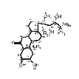 C[C@H]([C@@H](O)[C@H](O)[C@@H](C)C(C)(C)C)[C@H]1CCC2C3CC(=O)C4C[C@H](O)[C@H](O)C[C@]4(C)C3CC[C@@]21C